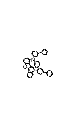 c1ccc(-c2ccc(-c3cc4c(oc5cccc(N(c6ccccc6)c6cccc(-c7ccccc7)c6)c54)c4ccccc34)cc2)cc1